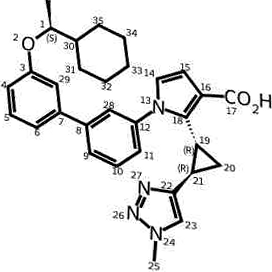 C[C@H](Oc1cccc(-c2cccc(-n3ccc(C(=O)O)c3[C@@H]3C[C@H]3c3cn(C)nn3)c2)c1)C1CCCCC1